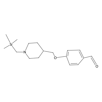 C[Si](C)(C)CN1CCC(COc2ccc(C=O)cc2)CC1